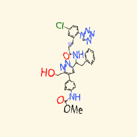 COC(=O)Nc1ccc(-c2cc(C(Cc3ccccc3)NC(=O)/C=C/c3cc(Cl)ccc3-n3cnnn3)nnc2CO)cc1